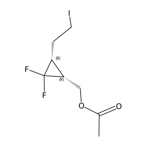 CC(=O)OC[C@H]1[C@@H](CCI)C1(F)F